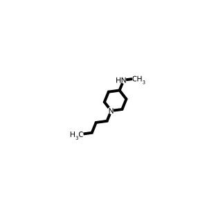 CCCCN1CCC(NC)CC1